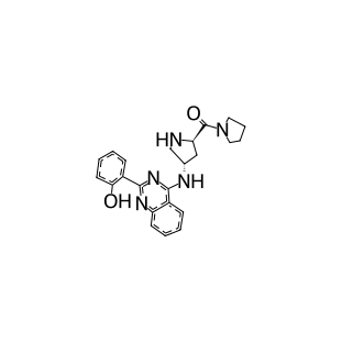 O=C([C@H]1C[C@H](Nc2nc(-c3ccccc3O)nc3ccccc23)CN1)N1CCCC1